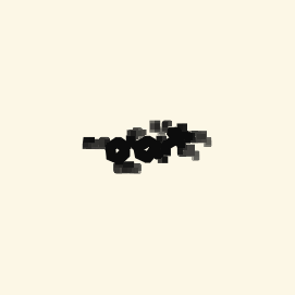 CCCN(c1cc(OC)cc(OC)c1)c1ccc2ncc(-c3c(C)nn(C)c3C)nc2c1